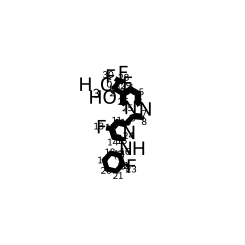 C[C@](O)(c1ccc2ncc(-c3cc(F)cc(N[C@H]4CCCC[C@@H]4F)n3)n2c1)C(F)(F)F